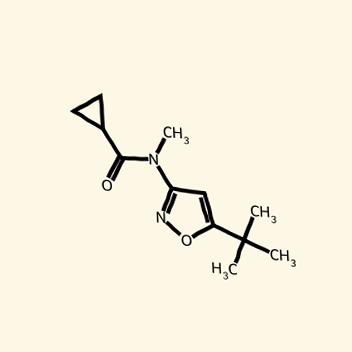 CN(C(=O)C1CC1)c1cc(C(C)(C)C)on1